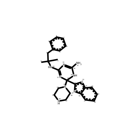 CC(C)(Cc1ccccc1)NC1=NC(c2nc3ccccc3s2)(N2CCNCC2)NC(N)=N1